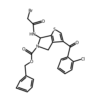 O=C(CBr)NC1c2scc(C(=O)c3ccccc3Cl)c2CN1C(=O)OCc1ccccc1